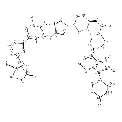 COc1cc2nn([C@H]3CC[C@H](CN(C)C4CCN(c5cccc6c5n(C)c(=O)n6C5CCC(=O)NC5=O)CC4)CC3)cc2cc1NC(=O)c1cccc(N2C[C@H]3C[C@@H]2CO3)n1